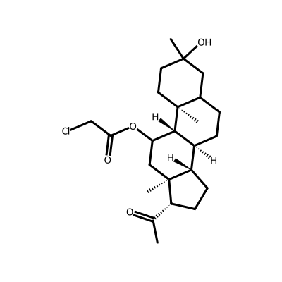 CC(=O)[C@H]1CC[C@H]2[C@@H]3CCC4CC(C)(O)CC[C@]4(C)[C@H]3C(OC(=O)CCl)C[C@]12C